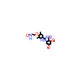 COc1cc2c(c(OC)c1)C(=O)NC(c1cc(C)c(OCCNC=O)c(C)c1)N2